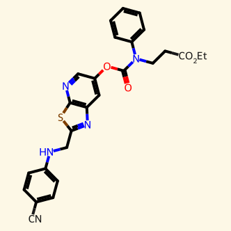 CCOC(=O)CCN(C(=O)Oc1cnc2sc(CNc3ccc(C#N)cc3)nc2c1)c1ccccc1